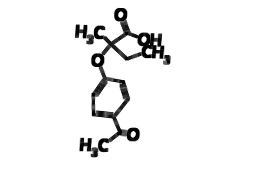 CCC(C)(Oc1ccc(C(C)=O)cc1)C(=O)O